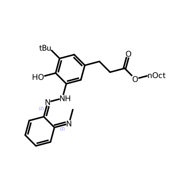 CCCCCCCCOC(=O)CCc1cc(N/N=C2/C=CC=C/C2=N/C)c(O)c(C(C)(C)C)c1